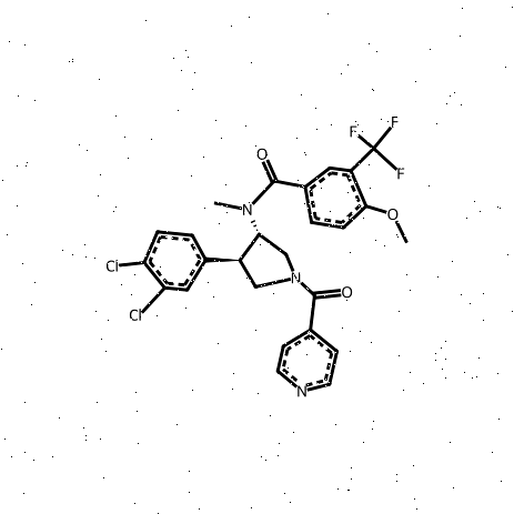 COc1ccc(C(=O)N(C)[C@@H]2CN(C(=O)c3ccncc3)C[C@H]2c2ccc(Cl)c(Cl)c2)cc1C(F)(F)F